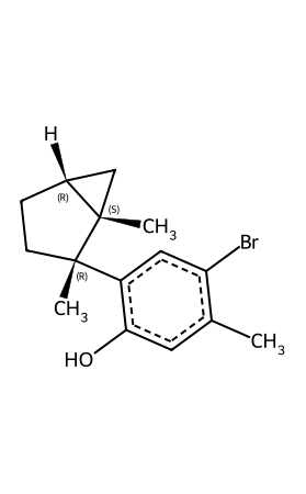 Cc1cc(O)c([C@]2(C)CC[C@@H]3C[C@@]32C)cc1Br